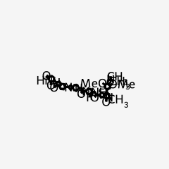 COc1cc(-c2cn(C)c(=O)c3cc(C(=O)NC4CCN(C(=O)CN5CCC6(CC5)CN(c5ccc7c(c5)CN(C5CCC(=O)NC5=O)C7=O)C6)CC4(F)F)sc23)cc(OC)c1CN(C)C